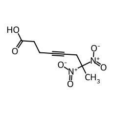 CC(CC#CCCC(=O)O)([N+](=O)[O-])[N+](=O)[O-]